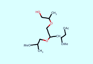 COC(C)COC(C)COC(C)CO.COCCOC(C)=O